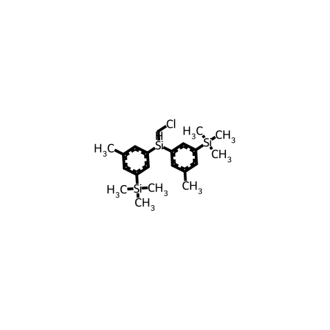 Cc1cc([SiH](CCl)c2cc(C)cc([Si](C)(C)C)c2)cc([Si](C)(C)C)c1